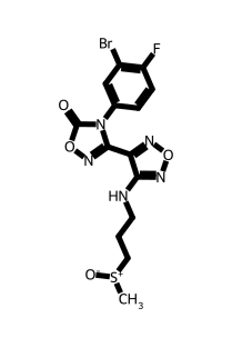 C[S+]([O-])CCCNc1nonc1-c1noc(=O)n1-c1ccc(F)c(Br)c1